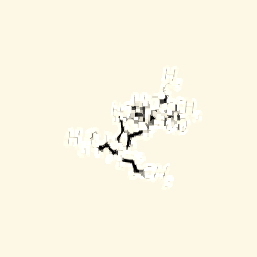 CC(=O)O.CC(=O)[O-].CCCC[P+](CCCC)(CCCC)CCCN(C)C